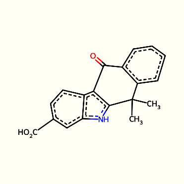 CC1(C)c2ccccc2C(=O)c2c1[nH]c1cc(C(=O)O)ccc21